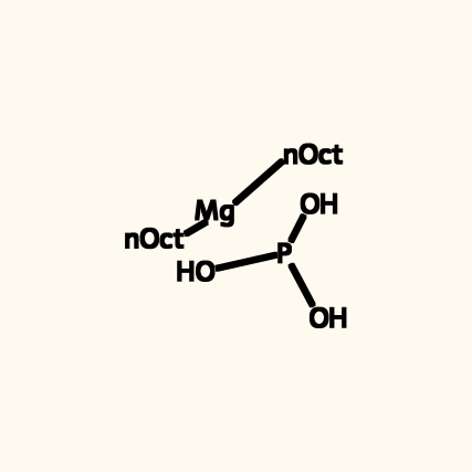 CCCCCCC[CH2][Mg][CH2]CCCCCCC.OP(O)O